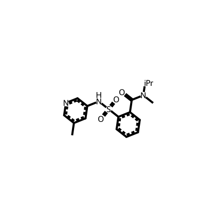 Cc1cncc(NS(=O)(=O)c2ccccc2C(=O)N(C)C(C)C)c1